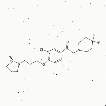 C[C@@H]1CCCN1CCCOc1ccc(C(=O)CN2CCC(F)(F)CC2)cc1Cl